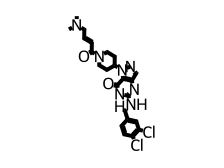 CN(C)C/C=C/C(=O)N1CCC(n2ncc3nc(NCc4ccc(Cl)c(Cl)c4)[nH]c(=O)c32)CC1